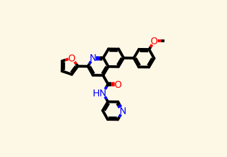 COc1cccc(-c2ccc3nc(-c4ccco4)cc(C(=O)Nc4cccnc4)c3c2)c1